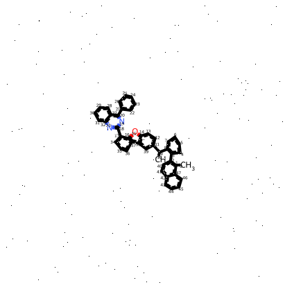 Cc1c(-c2ccccc2C(C)c2ccc3oc4c(-c5nc(-c6ccccc6)c6ccccc6n5)cccc4c3c2)ccc2ccccc12